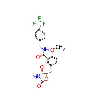 COc1ccc(CC2OC(=O)NC2=O)cc1C(=O)NCc1ccc(C(F)(F)F)cc1